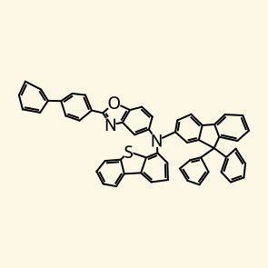 c1ccc(-c2ccc(-c3nc4cc(N(c5ccc6c(c5)C(c5ccccc5)(c5ccccc5)c5ccccc5-6)c5cccc6c5sc5ccccc56)ccc4o3)cc2)cc1